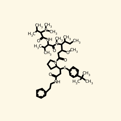 CCC(C)C(C(CC(=O)N1CCCC1C(CC(=O)NCCc1ccccc1)Sc1ccc(C(C)(C)C)cc1)OC)N(C)C(=O)C(NC(=O)C(C(C)C)N(C)C)C(C)C